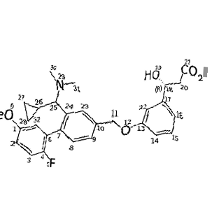 COc1ccc(F)c(-c2ccc(COc3cccc([C@H](O)CC(=O)O)c3)cc2C(C2CC2)N(C)C)c1